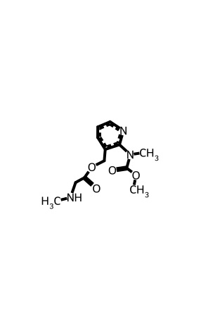 CNCC(=O)OCc1cccnc1N(C)C(=O)OC